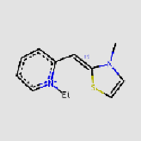 CC[n+]1ccccc1/C=C1\SC=CN1C